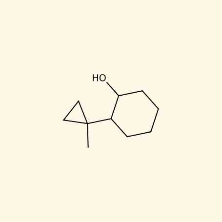 CC1(C2CCCC[C]2O)CC1